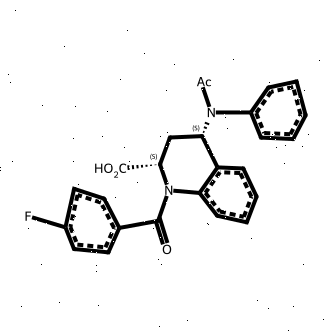 CC(=O)N(c1ccccc1)[C@H]1C[C@@H](C(=O)O)N(C(=O)c2ccc(F)cc2)c2ccccc21